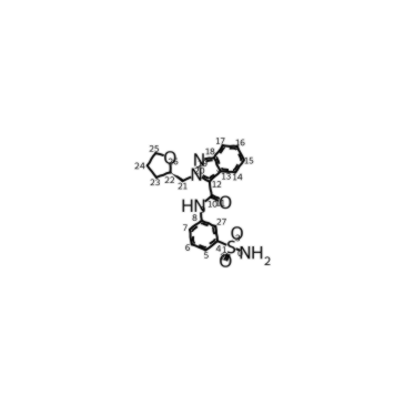 NS(=O)(=O)c1cccc(NC(=O)c2c3ccccc3nn2C[C@H]2CCCO2)c1